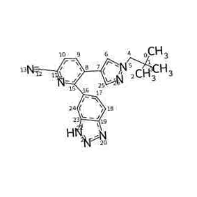 CC(C)(C)Cn1cc(-c2ccc(C#N)nc2-c2ccc3nn[nH]c3c2)cn1